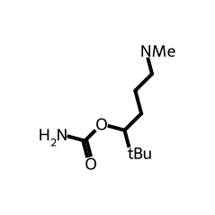 CNCCCC(OC(N)=O)C(C)(C)C